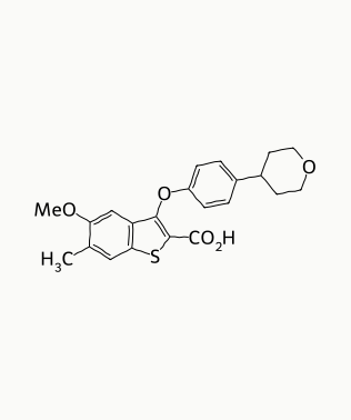 COc1cc2c(Oc3ccc(C4CCOCC4)cc3)c(C(=O)O)sc2cc1C